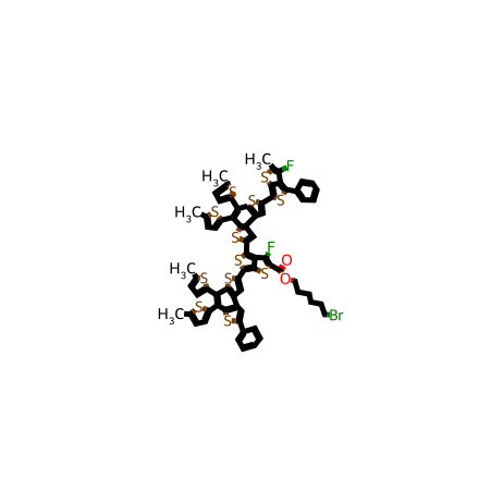 Cc1ccc(-c2c(-c3ccc(C)s3)c3sc(-c4sc(-c5cc6c(s5)c(-c5ccc(C)s5)c(-c5ccc(C)s5)c5sc(-c7sc(-c8ccccc8)c8c(F)c(C)sc78)cc56)c5c(F)c(C(=O)OCCCCCCBr)sc45)cc3c3cc(-c4ccccc4)sc23)s1